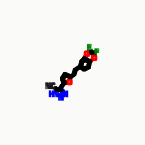 N#Cc1[nH]nnc1-c1ccc(/C=C/c2ccc3c(c2)OC(F)(F)O3)o1